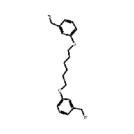 BrCc1cccc(OCCCCCCOc2cccc(CBr)c2)c1